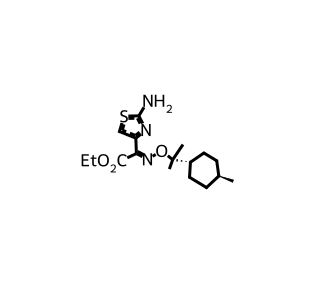 CCOC(=O)C(=NOC(C)(C)[C@H]1CC[C@H](C)CC1)c1csc(N)n1